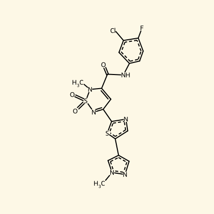 CN1C(C(=O)Nc2ccc(F)c(Cl)c2)=CC(c2ncc(-c3cnn(C)c3)s2)=NS1(=O)=O